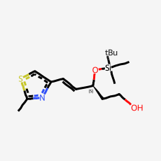 Cc1nc(C=C[C@H](CCO)O[Si](C)(C)C(C)(C)C)cs1